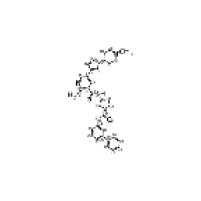 CN1CCC(n2cc(-c3cnc(N)c(C(=O)N[C@@H]4CCN(C(=O)Oc5cccc(-c6ccccc6)c5)C4)c3)cn2)CC1